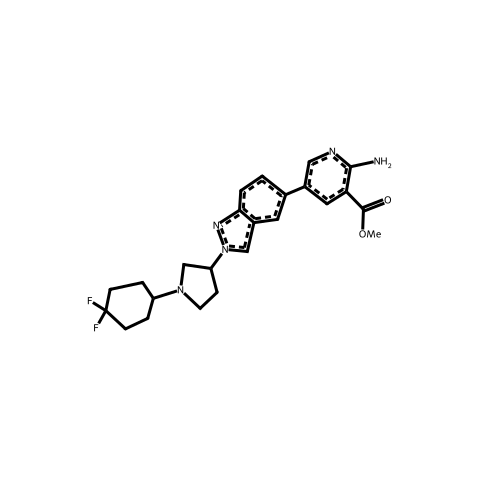 COC(=O)c1cc(-c2ccc3nn(C4CCN(C5CCC(F)(F)CC5)C4)cc3c2)cnc1N